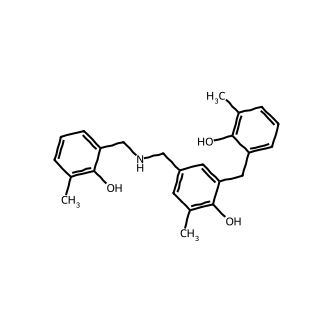 Cc1cccc(CNCc2cc(C)c(O)c(Cc3cccc(C)c3O)c2)c1O